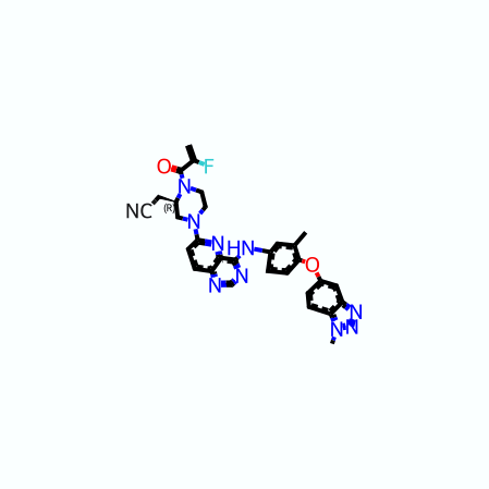 C=C(F)C(=O)N1CCN(c2ccc3ncnc(Nc4ccc(Oc5ccc6c(c5)nnn6C)c(C)c4)c3n2)C[C@H]1CC#N